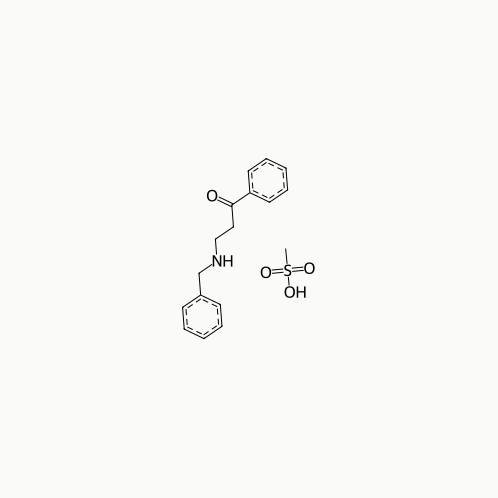 CS(=O)(=O)O.O=C(CCNCc1ccccc1)c1ccccc1